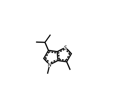 Cc1csc2c(C(C)C)cn(C)c12